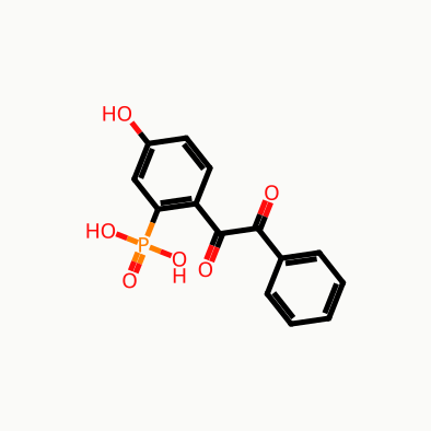 O=C(C(=O)c1ccc(O)cc1P(=O)(O)O)c1ccccc1